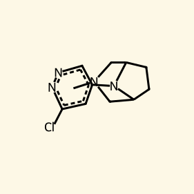 CN1CC2CCC(C1)N2c1cnnc(Cl)c1